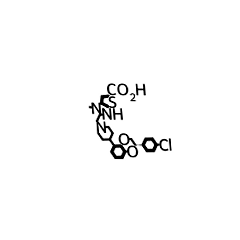 CN1c2cc(C(=O)O)sc2NC1CN1CCC(c2cccc3c2OC[C@H](c2ccc(Cl)cc2)O3)CC1